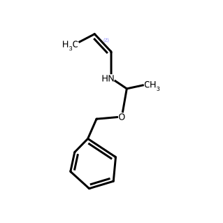 C/C=C\NC(C)OCc1ccccc1